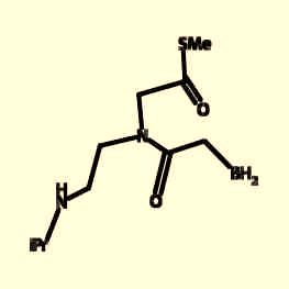 BCC(=O)N(CCNC(C)C)CC(=O)SC